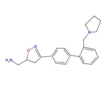 NCC1CC(c2ccc(-c3ccccc3CN3CCCC3)cc2)=NO1